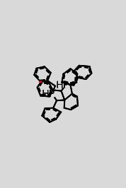 C1=CCC(C(PCc2ccccc2)c2ccccc2)(C(PCc2ccccc2)c2ccccc2)C(c2ccccc2)=C1